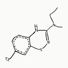 CCN(C)C1=NSc2cc(Cl)ccc2N1